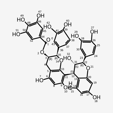 O=C(O[C@@H]1Cc2c(O)cc(O)c([C@@H]3c4c(O)cc(O)cc4O[C@H](c4ccc(O)c(O)c4)[C@H]3O)c2O[C@@H]1c1ccc(O)c(O)c1)c1cc(O)c(O)c(O)c1